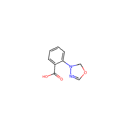 O=C(O)c1ccccc1N1COC=N1